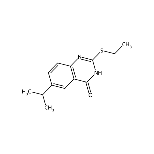 CCSc1nc2ccc(C(C)C)cc2c(=O)[nH]1